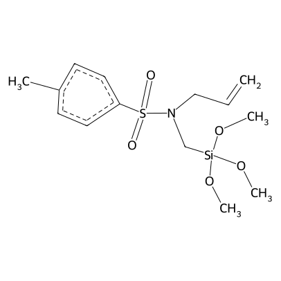 C=CCN(C[Si](OC)(OC)OC)S(=O)(=O)c1ccc(C)cc1